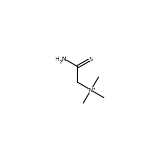 C[N+](C)(C)CC(N)=S